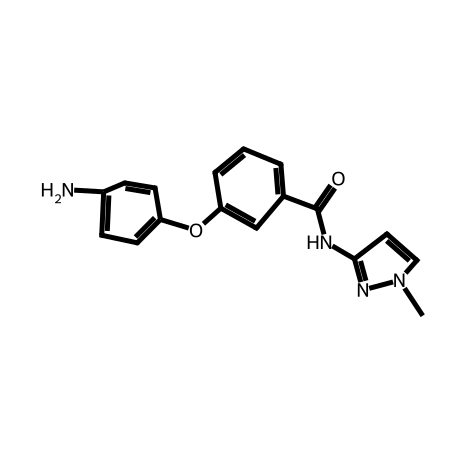 Cn1ccc(NC(=O)c2cccc(Oc3ccc(N)cc3)c2)n1